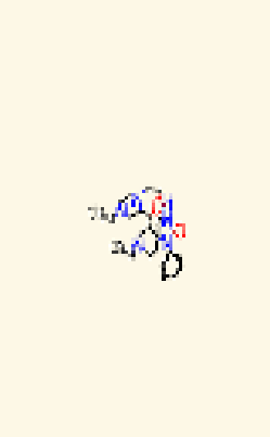 CC(C)(C)N1CCN2CCOC(C3CN(C(C)(C)C)CCC34CNC(=O)N4c3ccccc3)C2C1